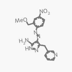 COCc1cc([N+](=O)[O-])ccc1N=Nc1c(Cc2cccnc2)n[nH]c1N